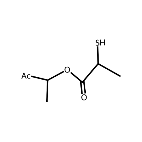 CC(=O)C(C)OC(=O)C(C)S